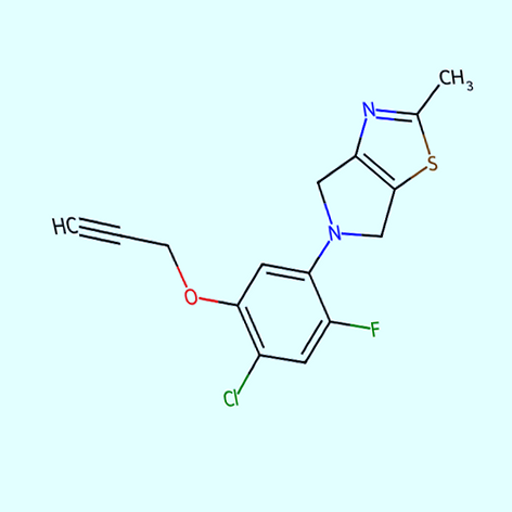 C#CCOc1cc(N2Cc3nc(C)sc3C2)c(F)cc1Cl